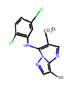 CCOC(=O)c1cnc2c(S(=O)(=O)O)cnn2c1Nc1cc(Cl)ccc1Cl